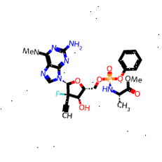 C#C[C@@]1(F)[C@H](O)[C@@H](CO[P@@](=O)(N[C@@H](C)C(=O)OC)Oc2ccccc2)O[C@H]1n1cnc2c(NC)nc(N)nc21